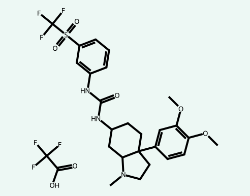 COc1ccc(C23CCC(NC(=O)Nc4cccc(S(=O)(=O)C(F)(F)F)c4)CC2N(C)CC3)cc1OC.O=C(O)C(F)(F)F